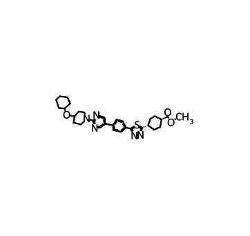 COC(=O)[C@H]1CC[C@H](c2nnc(-c3ccc(-c4cnc(N5CCC(OC6CCCCC6)CC5)nc4)cc3)s2)CC1